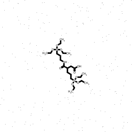 CCO[Si](CCCNC(=O)C(CCC[Si](OCC)(OCC)OCC)CC(=O)O)(OCC)OCC